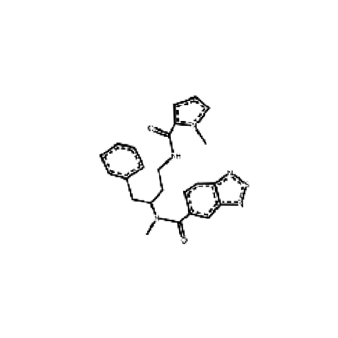 CN(C(=O)c1ccc2nsnc2c1)C(CCNC(=O)c1cccn1C)Cc1ccccc1